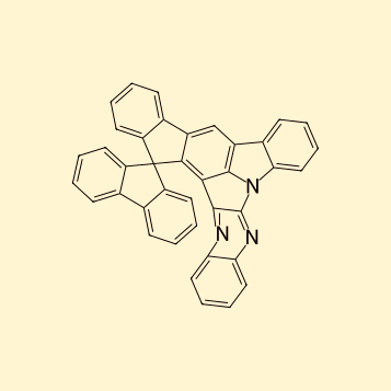 c1ccc2c(c1)-c1ccccc1C21c2ccccc2-c2cc3c4ccccc4n4c5nc6ccccc6nc5c(c21)c34